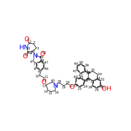 O=C1CC[C@H](N2Cc3cc(CCOC4CCCN(CCCOc5ccc([C@@H]6c7ccc(O)cc7CC[C@@H]6c6ccccc6)cc5)C4)ccc3C2=O)C(=O)N1